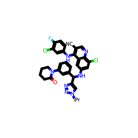 CC(C)n1cc(C(Nc2cc(Cl)c3ncc(C#N)c(Nc4ccc(F)c(Cl)c4)c3c2)c2cccc(N3CCCCC3=O)c2)nn1